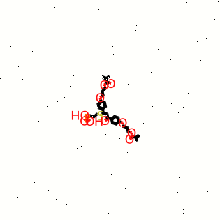 C=C(C)C(=O)OCCCOc1ccc(C(=O)CC(SCCCP(=O)(O)O)c2ccc(OCCCOC(=O)C(=C)C)cc2)cc1